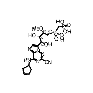 CO[C@H](COP(=O)(O)CP(=O)(O)O)[C@@H](O)[C@@H](O)c1cnc2c(NC3CCCC3)nc(C#N)nn12